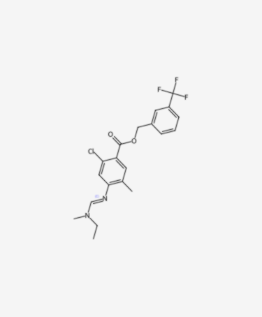 CCN(C)/C=N/c1cc(Cl)c(C(=O)OCc2cccc(C(F)(F)F)c2)cc1C